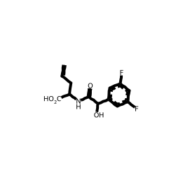 C=CCC(NC(=O)C(O)c1cc(F)cc(F)c1)C(=O)O